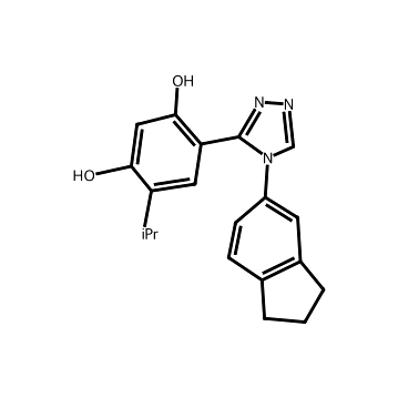 CC(C)c1cc(-c2nncn2-c2ccc3c(c2)CCC3)c(O)cc1O